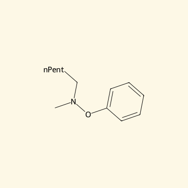 CCCCCCN(C)Oc1ccccc1